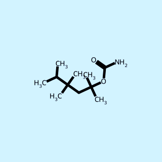 CC(C)C(C)(C)CC(C)(C)OC(N)=O